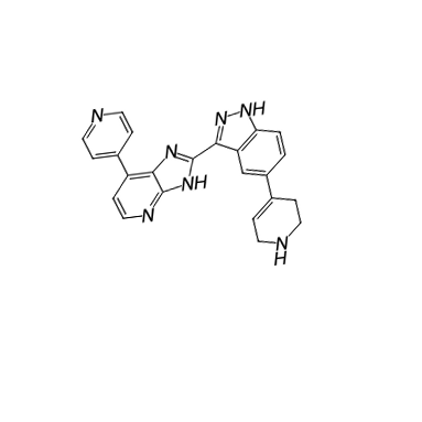 C1=C(c2ccc3[nH]nc(-c4nc5c(-c6ccncc6)ccnc5[nH]4)c3c2)CCNC1